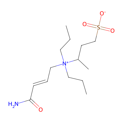 CCC[N+](CC=CC(N)=O)(CCC)C(C)CCS(=O)(=O)[O-]